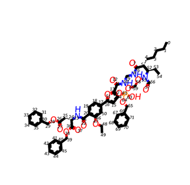 CCCCC[C@@H](C(=O)NCNC(=O)c1ccc(-c2ccc(C(=O)N[C@@H](CC(=O)OCc3ccccc3)C(=O)OCc3ccccc3)c(OCC)c2)o1)[C@@H](CC)N(C=O)OCOP(=O)(O)OCc1ccccc1